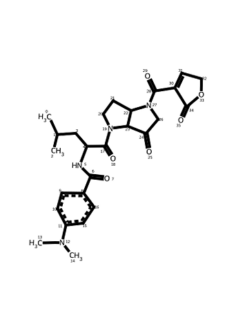 CC(C)CC(NC(=O)c1ccc(N(C)C)cc1)C(=O)N1CCC2C1C(=O)CN2C(=O)C1=CCOC1=O